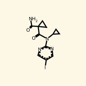 NC(=O)C1(C(=O)N(c2ncc(I)cn2)C2CC2)CC1